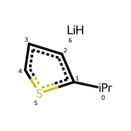 CC(C)c1cccs1.[LiH]